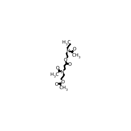 CCCN(CCOC(=O)CCN(CCOC(C)=O)C(C)=O)C(C)=O